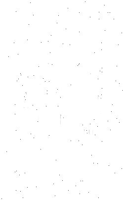 Nc1cnc2ccc(I)cc2c1NC1CCCOC1